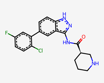 O=C(Nc1n[nH]c2ccc(-c3cc(F)ccc3Cl)cc12)[C@@H]1CCCNC1